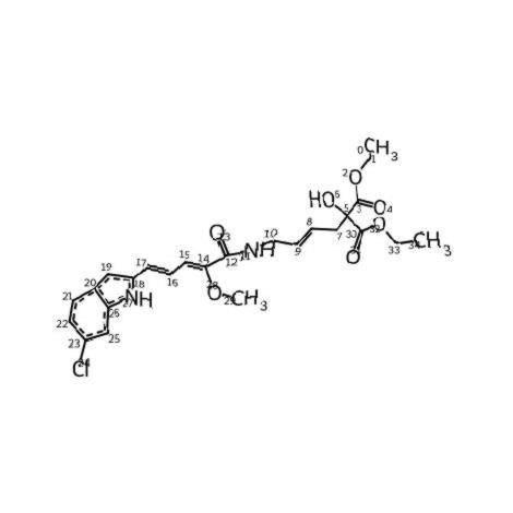 CCOC(=O)C(O)(C/C=C/CNC(=O)/C(=C/C=C/c1cc2ccc(Cl)cc2[nH]1)OC)C(=O)OCC